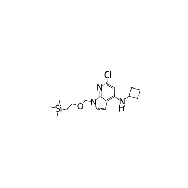 C[Si](C)(C)CCOCn1ccc2c(NC3CCC3)cc(Cl)nc21